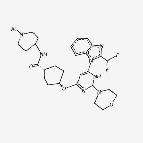 CC(=O)N1CCC(NC(=O)[C@H]2CC[C@H](OC3=NC(N4CCOCC4)NC(n4c(C(F)F)nc5ccccc54)=C3)CC2)CC1